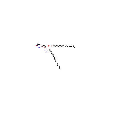 CCCCCCCCCCCCCCCCOC(OCCCCCCCCCCCCCCCC)O[C@H]1C[C@H](n2cc(C)c(=O)[nH]c2=O)O[C@@H]1C[N+](C)(C)C